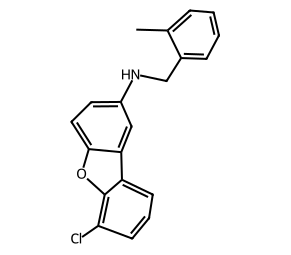 Cc1ccccc1CNc1ccc2oc3c(Cl)cccc3c2c1